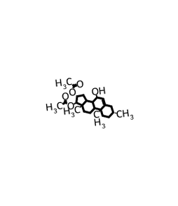 CC(=O)O[C@@H]1CC2C3C(CC[C@]2(C)[C@H]1OC(C)=O)[C@@]1(C)CC[C@@H](C)CC1=C[C@@H]3O